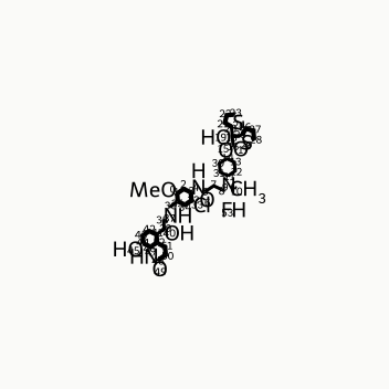 COc1cc(NC(=O)CCN(C)C2CCC(OC(=O)C(O)(c3cccs3)c3cccs3)CC2)c(Cl)cc1CNC[C@@H](O)c1ccc(O)c2[nH]c(=O)ccc12.F